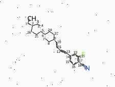 CC[C@H]1CC[C@H]([C@H]2CC[C@H](C=CC#Cc3ccc(C#N)c(F)c3)CC2)CC1